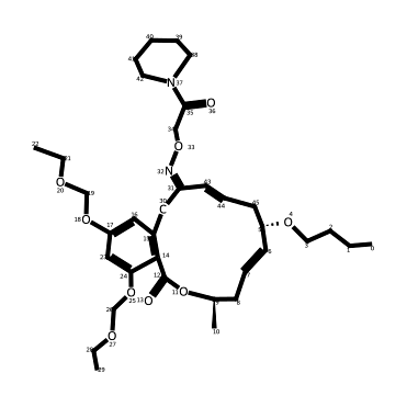 CCCCO[C@@H]1/C=C/C[C@@H](C)OC(=O)c2c(cc(OCOCC)cc2OCOCC)CC(=NOCC(=O)N2CCCCC2)/C=C/C1